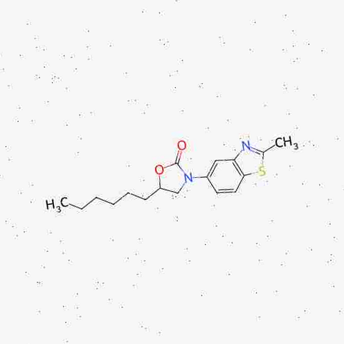 CCCCCCC1CN(c2ccc3sc(C)nc3c2)C(=O)O1